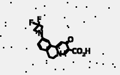 O=C(O)c1cn2c(cc1=O)-c1cc(N3CC(F)(F)C3)ccc1CC2